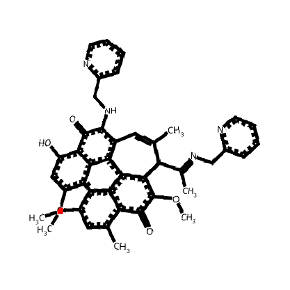 COc1c2c3c4c(c(NCc5ccccn5)c(=O)c5c(O)cc(OC)c(c6c(OC)cc(C)c(c1=O)c63)c54)C=C(C)C2/C(C)=N/Cc1ccccn1